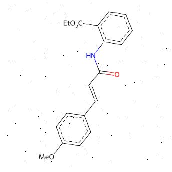 CCOC(=O)c1ccccc1NC(=O)/C=C/c1ccc(OC)cc1